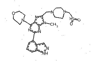 Cn1c(CN2CCN(C[SH](=O)=O)CC2)nc2c(N3CCOCC3)nc(-c3cccc4[nH]ncc34)nc21